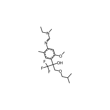 CCN(C)/C=N/c1cc(OC)c(C(O)(COCC(C)C)C(F)(F)F)cc1C